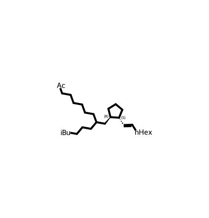 CCCCCCC=C[C@H]1CCC[C@@H]1CC(CCCCCCC(C)=O)CCCC(C)CC